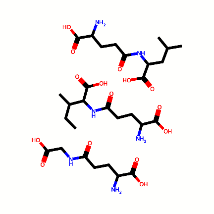 CC(C)CC(NC(=O)CCC(N)C(=O)O)C(=O)O.CCC(C)C(NC(=O)CCC(N)C(=O)O)C(=O)O.NC(CCC(=O)NCC(=O)O)C(=O)O